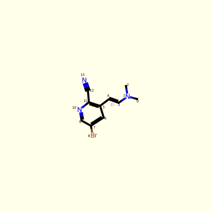 CN(C)/C=C/c1cc(Br)cnc1C#N